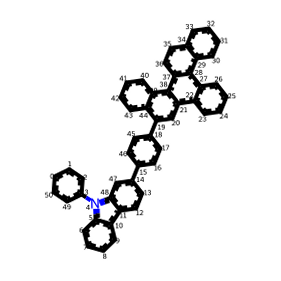 c1ccc(-n2c3ccccc3c3ccc(-c4ccc(-c5cc6c7ccccc7c7c8ccccc8ccc7c6c6ccccc56)cc4)cc32)cc1